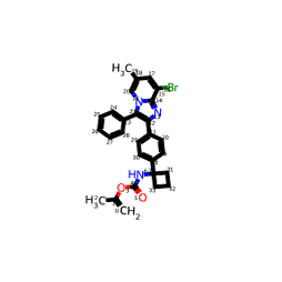 C=C(C)OC(=O)NC1(c2ccc(-c3nc4c(Br)cc(C)cn4c3-c3ccccc3)cc2)CCC1